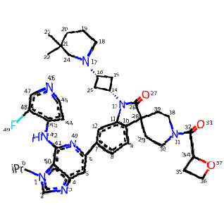 CC(C)n1cnc2cc(-c3ccc4c(c3)N([C@H]3C[C@@H](N5CCCC(C)(C)C5)C3)C(=O)C43CCN(C(=O)C4CCO4)CC3)nc(Nc3ccncc3F)c21